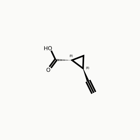 C#C[C@@H]1C[C@H]1C(=O)O